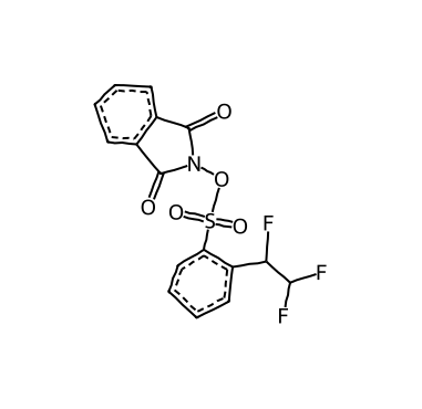 O=C1c2ccccc2C(=O)N1OS(=O)(=O)c1ccccc1C(F)C(F)F